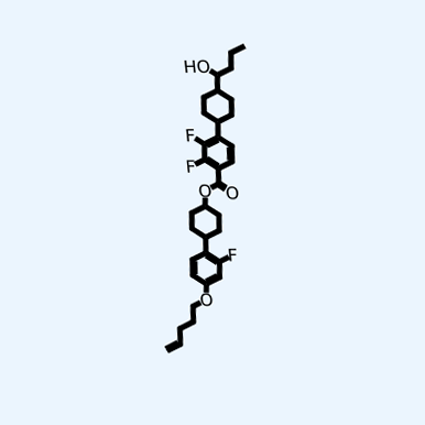 C=CCCCOc1ccc(C2CCC(OC(=O)c3ccc(C4CCC(C(O)CCC)CC4)c(F)c3F)CC2)c(F)c1